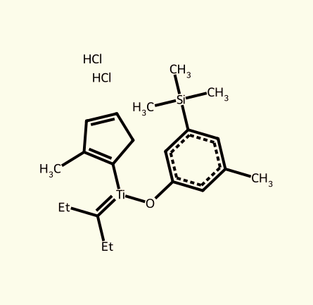 CC[C](CC)=[Ti]([O]c1cc(C)cc([Si](C)(C)C)c1)[C]1=C(C)C=CC1.Cl.Cl